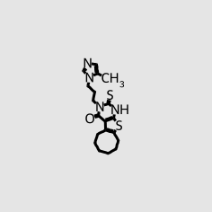 Cc1cncn1CCCn1c(=S)[nH]c2sc3c(c2c1=O)CCCCCC3